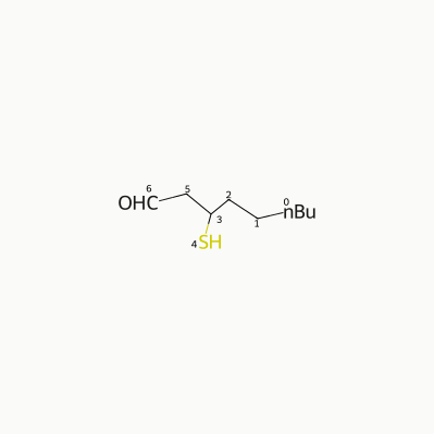 CCCCCCC(S)CC=O